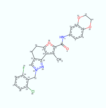 Cc1c(C(=O)Nc2ccc3c(c2)OCCO3)oc2c1-c1nn(Cc3c(F)cccc3Cl)cc1CC2